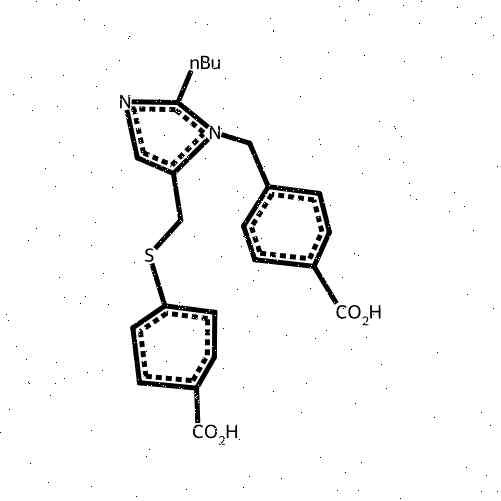 CCCCc1ncc(CSc2ccc(C(=O)O)cc2)n1Cc1ccc(C(=O)O)cc1